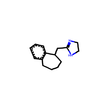 c1ccc2c(c1)CCCCC2CC1=NCCN1